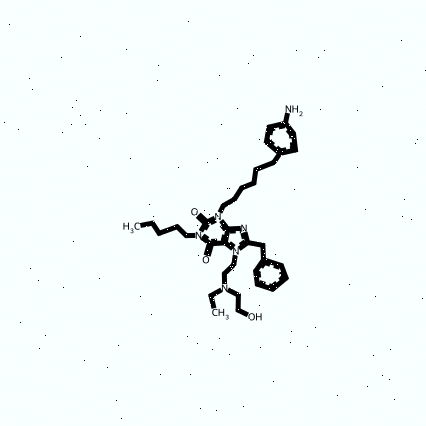 CCCCCn1c(=O)c2c(nc(Cc3ccccc3)n2CCN(CC)CCO)n(CCCCCCc2ccc(N)cc2)c1=O